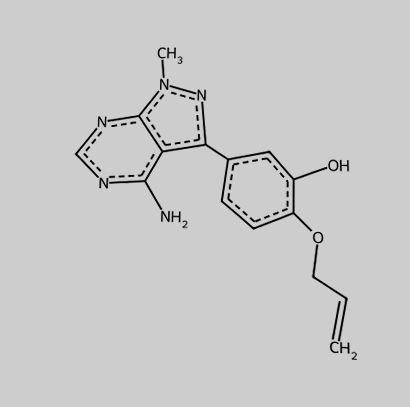 C=CCOc1ccc(-c2nn(C)c3ncnc(N)c23)cc1O